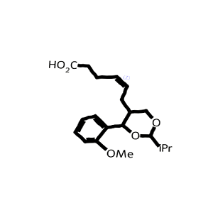 COc1ccccc1C1OC(C(C)C)OCC1C/C=C\CCC(=O)O